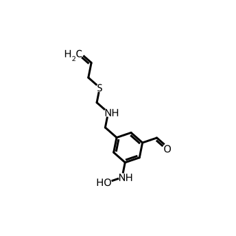 C=CCSCNCc1cc(C=O)cc(NO)c1